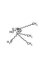 CCCCCCCCCCCC(=O)N[C@@H](CCC(=O)O)C(=O)OC(CCCCCCCC)(CCCCCCCC)CCCCCCCCCCC